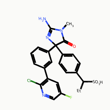 CCC(c1ccc(C2(c3cccc(-c4cc(F)cnc4Cl)c3)N=C(N)N(C)C2=O)cc1)S(=O)(=O)O